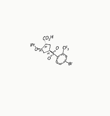 CC(C)O[C@@H]1C[C@H](S(=O)(=O)c2ccc(Br)cc2C(F)(F)F)C[C@H]1C(=O)O